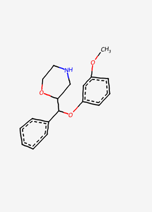 COc1cccc(OC(c2ccccc2)C2CNCCO2)c1